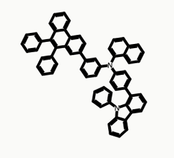 c1ccc(-c2c(-c3ccccc3)c3cc(-c4cccc(N(c5ccc(-c6cccc7c8ccccc8n(-c8ccccc8)c67)cc5)c5cccc6ccccc56)c4)ccc3c3ccccc23)cc1